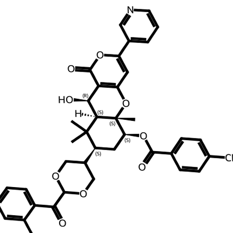 Cc1ccccc1C(=O)C1OCC([C@@H]2C[C@H](OC(=O)c3ccc(C#N)cc3)[C@@]3(C)Oc4cc(-c5cccnc5)oc(=O)c4[C@H](O)[C@@H]3C2(C)C)CO1